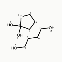 OC1(O)CCCO1.OCCCCO